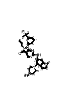 C=CCn1c(=O)c2cnc(Nc3cc(N4CCN(C(C)C)CC4)c4ccn(C)c4c3)nc2n1-c1cccc(C(C)(C)O)n1